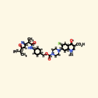 CCn1cc(C(=O)O)c(=O)c2cc(F)c(N3CCN(C(=O)OCc4ccc(NC(=O)C(C)c5cc([C@@H](C)C(C)C)on5)cc4)CC3)cc21